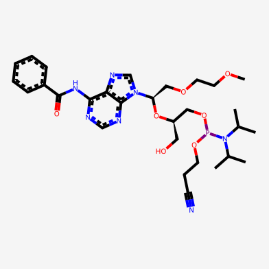 COCCOC[C@@H](O[C@H](CO)COP(OCCC#N)N(C(C)C)C(C)C)n1cnc2c(NC(=O)c3ccccc3)ncnc21